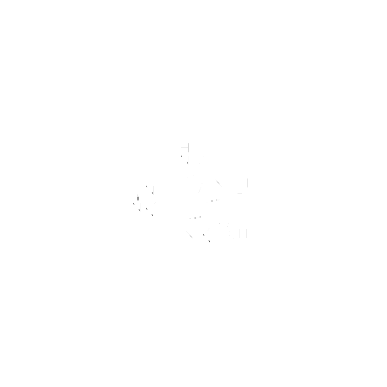 COc1ncccc1-c1cc(C(F)(F)F)cc(S(=O)(=O)N[C@H]2CCC[C@@H](n3cnnc3)C2)c1